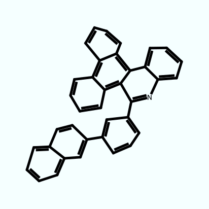 c1cc(-c2ccc3ccccc3c2)cc(-c2nc3ccccc3c3c4ccccc4c4ccccc4c23)c1